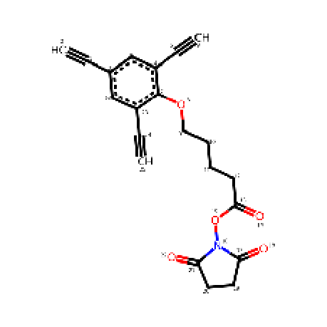 C#Cc1cc(C#C)c(OCCCCC(=O)ON2C(=O)CCC2=O)c(C#C)c1